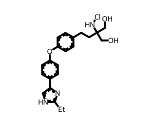 CCc1nc(-c2ccc(Oc3ccc(CCC(CO)(CO)NCl)cc3)cc2)c[nH]1